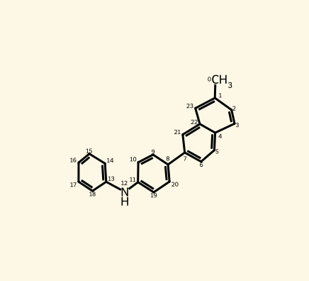 Cc1ccc2ccc(-c3ccc(Nc4ccccc4)cc3)cc2c1